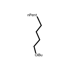 CCCCCCCC[CH]OCC(C)C